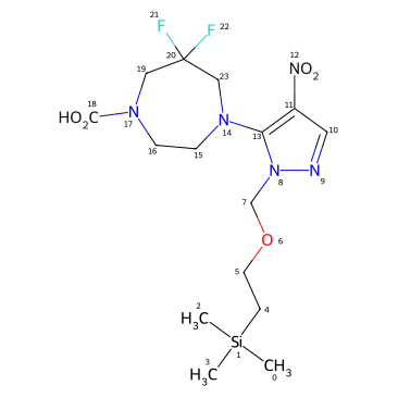 C[Si](C)(C)CCOCn1ncc([N+](=O)[O-])c1N1CCN(C(=O)O)CC(F)(F)C1